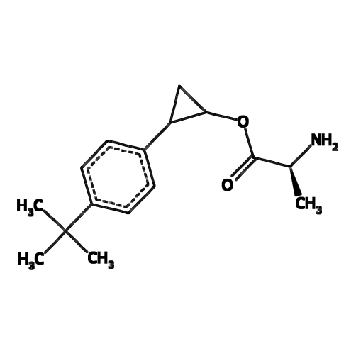 C[C@H](N)C(=O)OC1CC1c1ccc(C(C)(C)C)cc1